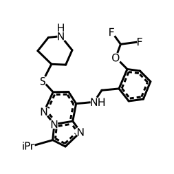 CC(C)c1cnc2c(NCc3ccccc3OC(F)F)cc(SC3CCNCC3)nn12